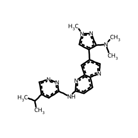 CC(C)c1cnnc(Nc2ccc3ncc(-c4cn(C)nc4N(C)C)cc3n2)c1